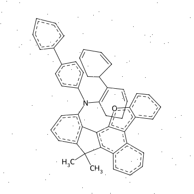 CC1(C)c2cccc(N(C3=C(C4C=CC=CC4)C=CCC3)c3ccc(-c4ccccc4)cc3)c2-c2c1c1ccccc1c1c2oc2ccccc21